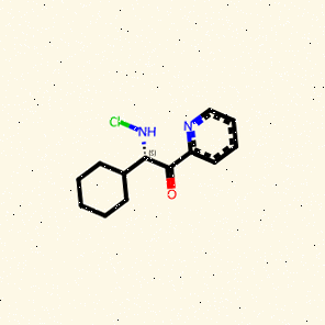 O=C(c1ccccn1)[C@@H](NCl)C1CCCCC1